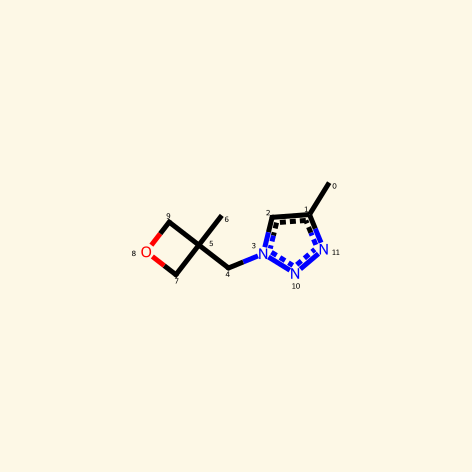 Cc1cn(CC2(C)COC2)nn1